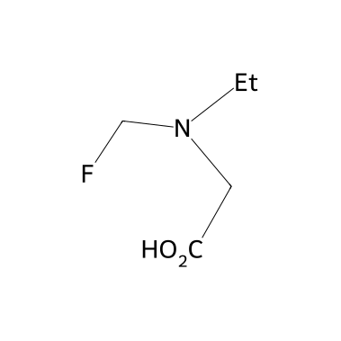 CCN(CF)CC(=O)O